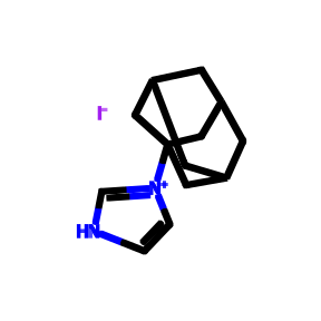 [I-].c1c[n+](C23CC4CC(CC(C4)C2)C3)c[nH]1